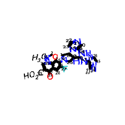 CN1COc2c(N3CCC(C(Nc4cnccn4)Nc4cnccn4)C3)c(F)cc3c(=O)c(C(=O)O)cn1c23